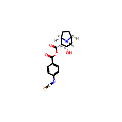 CN1[C@H]2CC[C@@H]1[C@@H](C(=O)OC(=O)c1ccc(N=C=S)cc1)[C@@H](O)C2